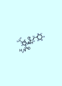 CC(C)c1cc(C(N)=O)c(NC(=O)C=Cc2ccccc2)s1